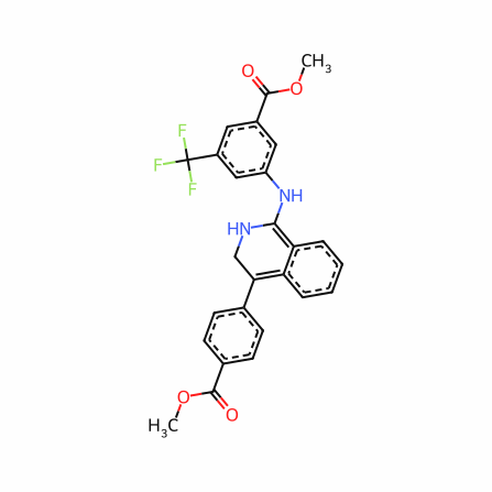 COC(=O)c1ccc(C2=c3ccccc3=C(Nc3cc(C(=O)OC)cc(C(F)(F)F)c3)NC2)cc1